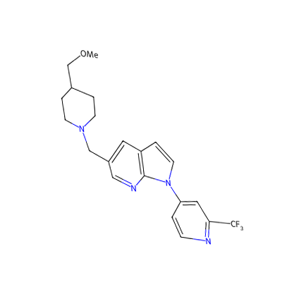 COCC1CCN(Cc2cnc3c(ccn3-c3ccnc(C(F)(F)F)c3)c2)CC1